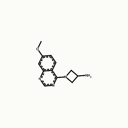 COc1ccc2c(N3CC(N)C3)ncnc2c1